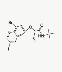 CSC(Oc1cc(Br)c2ncc(I)cc2c1)C(=O)NC(C)(C)C